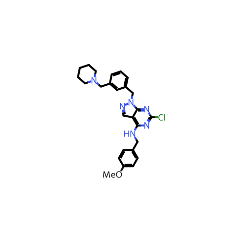 COc1ccc(CNc2nc(Cl)nc3c2cnn3Cc2cccc(CN3CCCCC3)c2)cc1